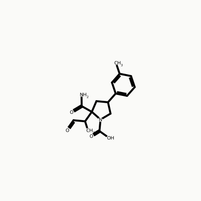 Cc1cccc(C2CN(C(=O)O)C(C(N)=O)(C(C)C=O)C2)c1